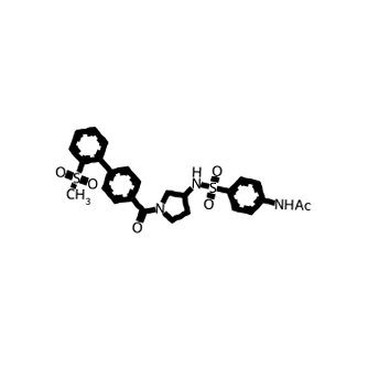 CC(=O)Nc1ccc(S(=O)(=O)NC2CCN(C(=O)c3ccc(-c4ccccc4S(C)(=O)=O)cc3)C2)cc1